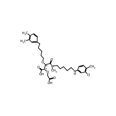 Cc1ccc(CCCCCO[C@@H](C(=O)N(C)CCCCCNc2ccc(C)c(Cl)c2)[C@@H](OCC(=O)O)C(=O)O)cc1C